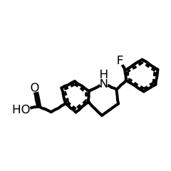 O=C(O)Cc1ccc2c(c1)CCC(c1ccccc1F)N2